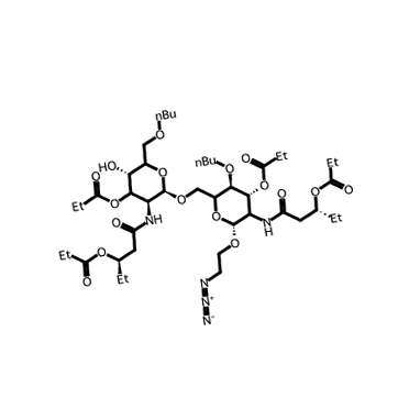 CCCCOCC1O[C@@H](OCC2O[C@@H](OCCN=[N+]=[N-])C(NC(=O)C[C@@H](CC)OC(=O)CC)[C@@H](OC(=O)CC)[C@@H]2OCCCC)[C@@H](NC(=O)C[C@@H](CC)OC(=O)CC)C(OC(=O)CC)[C@@H]1O